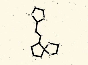 [CH]1CCC2(OCCO2)C1CCC1SCCS1